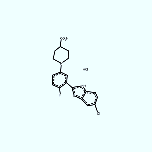 Cl.O=C(O)C1CCN(c2ccc(F)c(-c3nc4cc(Cl)ccc4[nH]3)c2)CC1